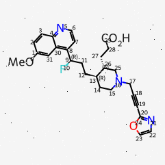 COc1ccc2nccc([C@H](F)CC[C@@H]3CCN(CC#Cc4ncco4)C[C@H]3CCC(=O)O)c2c1